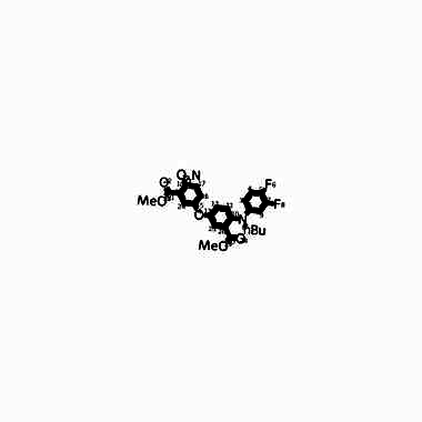 CCCCN(c1ccc(F)c(F)c1)c1ccc(Oc2ccc([N+](=O)[O-])c(C(=O)OC)c2)cc1C(=O)OC